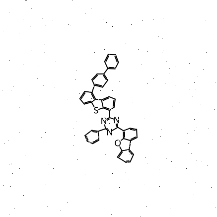 c1ccc(-c2ccc(-c3cccc4sc5c(-c6nc(-c7ccccc7)nc(-c7cccc8c7oc7ccccc78)n6)cccc5c34)cc2)cc1